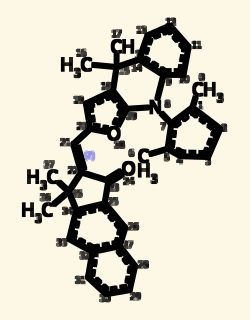 Cc1cccc(C)c1N1c2ccccc2C(C)(C)c2cc(/C=C3\C(=O)c4cc5ccccc5cc4C3(C)C)oc21